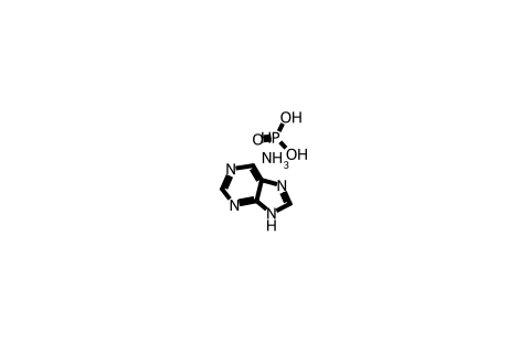 N.O=[PH](O)O.c1ncc2nc[nH]c2n1